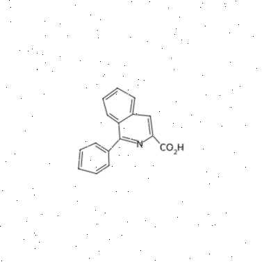 O=C(O)c1cc2ccccc2c(-c2ccccc2)n1